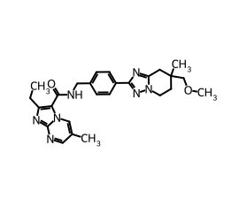 CCc1nc2ncc(C)cn2c1C(=O)NCc1ccc(-c2nc3n(n2)CCC(C)(COC)C3)cc1